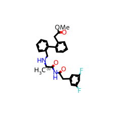 COC(=O)Cc1ccccc1-c1ccccc1CN[C@@H](C)C(=O)NC(=O)Cc1cc(F)cc(F)c1